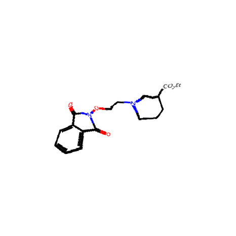 CCOC(=O)C1CCCN(CCON2C(=O)c3ccccc3C2=O)C1